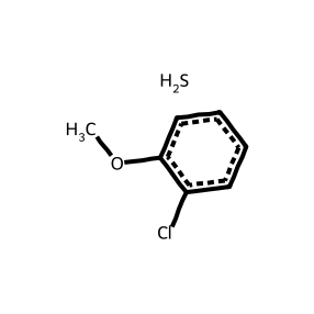 COc1ccccc1Cl.S